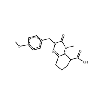 COC(=O)N(Cc1ccc(OC)cc1)N=C1CCCC(C(=O)O)N1